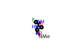 CNCC(=O)N(C)c1ccc(NC(=C2C(=O)Nc3cc(F)ccc32)c2ccccc2)cc1